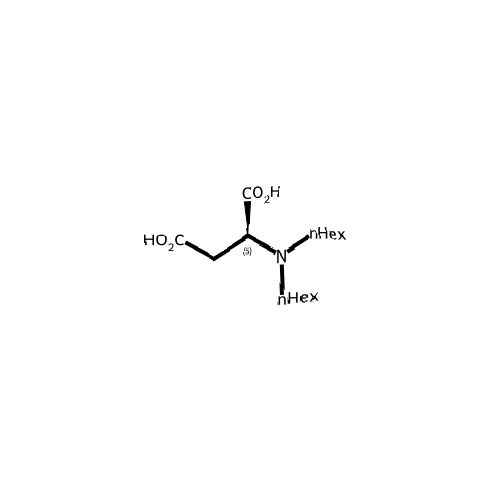 CCCCCCN(CCCCCC)[C@@H](CC(=O)O)C(=O)O